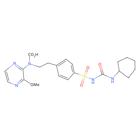 COc1nccnc1N(CCc1ccc(S(=O)(=O)NC(=O)NC2CCCCC2)cc1)C(=O)O